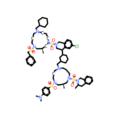 CC1Cc2ccccc2CN1S(=O)(=O)N1CCCN(CC2CCCC(C3CN(S(=O)(=O)N4CCCN(CC5CCCCC5)CCCN(S(=O)(=O)Cc5ccccc5)C[C@H](C)C4)Cc4ccc(Cl)cc43)C2)CCCN(S(=O)(=O)c2ccc(N(C)C)cc2)C[C@H](C)C1